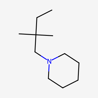 CCC(C)(C)CN1CCCCC1